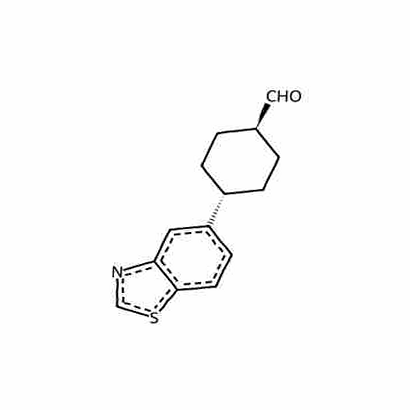 O=C[C@H]1CC[C@H](c2ccc3scnc3c2)CC1